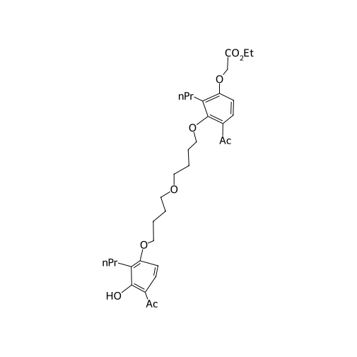 CCCc1c(OCCCCOCCCCOc2c(C(C)=O)ccc(OCC(=O)OCC)c2CCC)ccc(C(C)=O)c1O